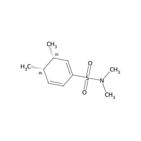 C[C@@H]1C=C(S(=O)(=O)N(C)C)C=C[C@@H]1C